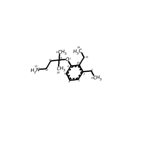 CCc1cccc(OC(C)(C)CCN)c1CC